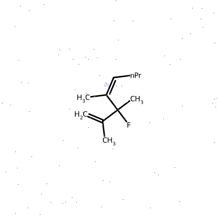 C=C(C)C(C)(F)/C(C)=C\CCC